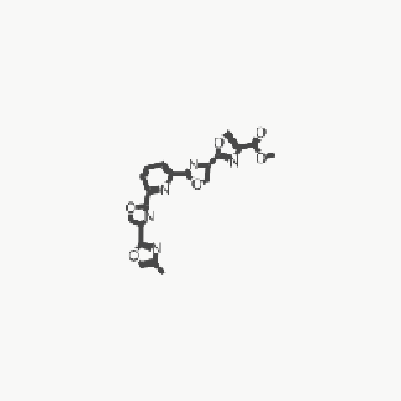 COC(=O)c1coc(C2COC(c3cccc(C4=NC(c5nc(C)co5)CO4)n3)=N2)n1